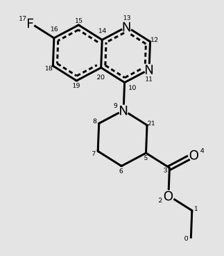 CCOC(=O)C1CCCN(c2ncnc3cc(F)ccc23)C1